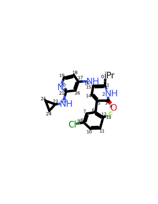 CC(C)c1[nH]c(=O)c(-c2cc(Cl)ccc2F)cc1Nc1ccnc(NC2CC2)c1